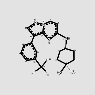 C[C@]1(O)CC[C@@H](Nc2ccn3ncc(-c4cccc(C(F)(F)F)c4)c3n2)CC1